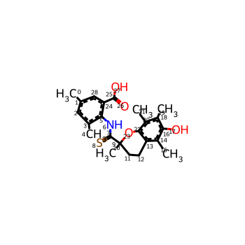 Cc1cc(C)c(NC(=S)C2(C)CCc3c(C)c(O)c(C)c(C)c3O2)c(C(=O)O)c1